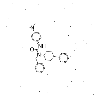 CN(C)c1ccc(NC(=O)N(Cc2ccccc2)C2CCC(c3ccccc3)CC2)cc1